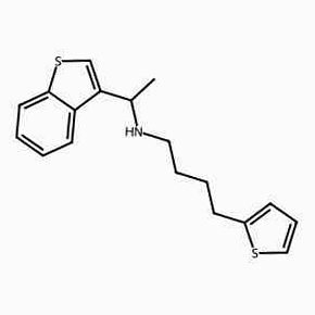 CC(NCCCCc1cccs1)c1csc2ccccc12